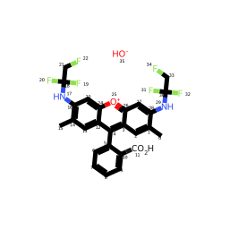 Cc1cc2c(-c3ccccc3C(=O)O)c3cc(C)c(NC(F)(F)CF)cc3[o+]c2cc1NC(F)(F)CF.[OH-]